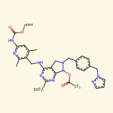 CCCCCCOC(=O)Nc1cc(C)c(CNc2nc(C(=O)OCC)nc3c2CN(Cc2ccc(Cn4cccn4)cc2)N3OC(=O)C(F)(F)F)c(C)n1